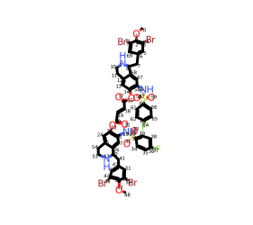 COc1c(Br)cc(CC2NCCc3cc(OC(=O)/C=C/C(=O)Oc4cc5c(cc4NS(=O)(=O)c4ccc(F)cc4)C(Cc4cc(Br)c(OC)c(Br)c4)NCC5)c(NS(=O)(=O)c4ccc(F)cc4)cc32)cc1Br